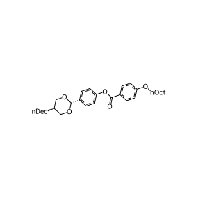 CCCCCCCCCC[C@H]1CO[C@H](c2ccc(OC(=O)c3ccc(OCCCCCCCC)cc3)cc2)OC1